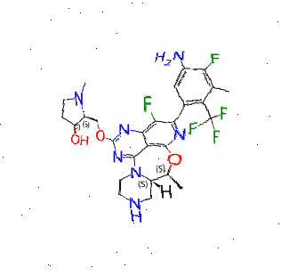 Cc1c(F)c(N)cc(-c2nc3c4c(nc(OC[C@H]5[C@@H](O)CCN5C)nc4c2F)N2CCNC[C@H]2[C@H](C)O3)c1C(F)(F)F